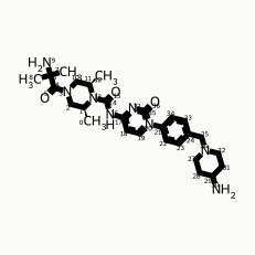 C[C@@H]1CN(C(=O)C(C)(C)N)C[C@H](C)N1C(=O)Nc1ccn(-c2ccc(CN3CCC(N)CC3)cc2)c(=O)n1